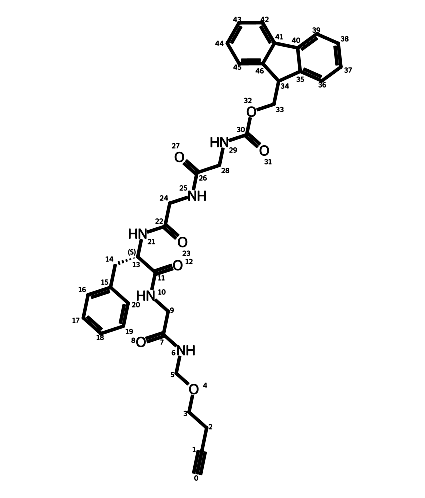 C#CCCOCNC(=O)CNC(=O)[C@H](Cc1ccccc1)NC(=O)CNC(=O)CNC(=O)OCC1c2ccccc2-c2ccccc21